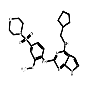 COc1cc(S(=O)(=O)N2CCOCC2)ccc1Nc1nc(NCC2CCCC2)c2cc[nH]c2n1